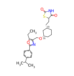 CCc1oc(-c2ccc(C(C)C)cc2)nc1CO[C@H]1CCC[C@@H](CCC2SC(=O)NC2=O)C1